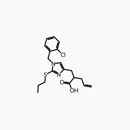 C=CCC(Cc1cn(Cc2ccccc2Cl)c(SCCC)n1)C(=O)O